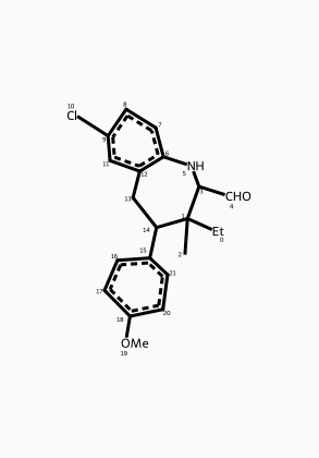 CCC1(C)C(C=O)Nc2ccc(Cl)cc2CC1c1ccc(OC)cc1